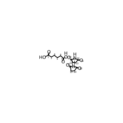 O=C(O)CCCCC(=O)O.O=C1CCC(=O)N1.O=C1CCC(=O)N1